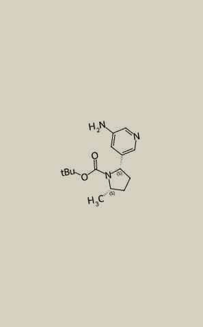 C[C@H]1CC[C@@H](c2cncc(N)c2)N1C(=O)OC(C)(C)C